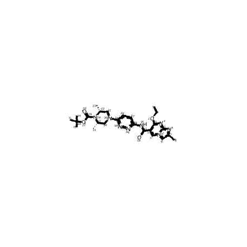 CCOc1nc2nc(C)cn2cc1C(=O)Nc1ccc(N2C[C@@H](C)N(C(=O)OC(C)(C)C)[C@@H](C)C2)nn1